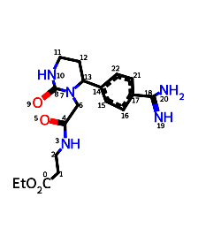 CCOC(=O)CCNC(=O)CN1C(=O)NCCC1c1ccc(C(=N)N)cc1